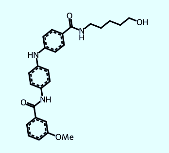 COc1cccc(C(=O)Nc2ccc(Nc3ccc(C(=O)NCCCCCO)cc3)cc2)c1